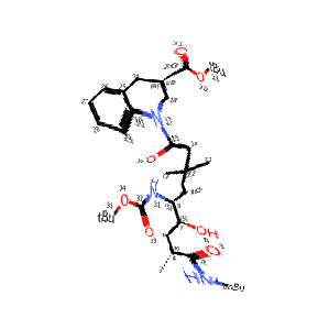 CCCCNC(=O)[C@H](C)C[C@H](O)[C@H](CC(C)(C)CC(=O)N1C[C@H](C(=O)OC(C)(C)C)Cc2ccccc21)NC(=O)OC(C)(C)C